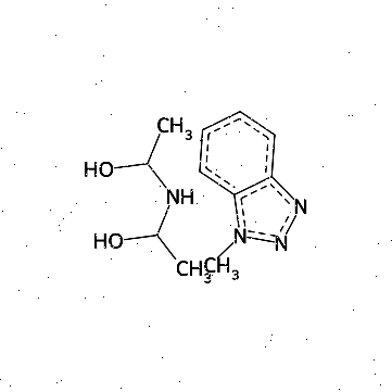 CC(O)NC(C)O.Cn1nnc2ccccc21